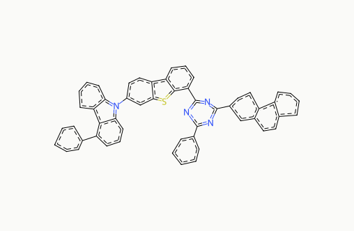 c1ccc(-c2nc(-c3ccc4c(ccc5ccccc54)c3)nc(-c3cccc4c3sc3cc(-n5c6ccccc6c6c(-c7ccccc7)cccc65)ccc34)n2)cc1